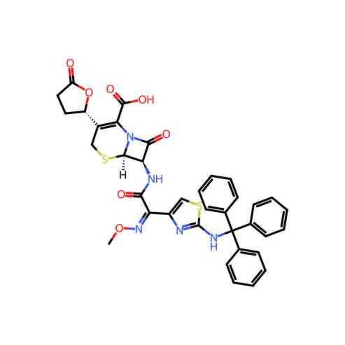 CO/N=C(\C(=O)N[C@@H]1C(=O)N2C(C(=O)O)=C([C@@H]3CCC(=O)O3)CS[C@H]12)c1csc(NC(c2ccccc2)(c2ccccc2)c2ccccc2)n1